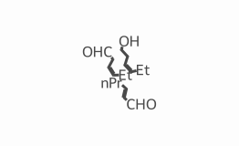 CC/C=C\CC=O.CC/C=C\CCO.CCC/C=C/C=O